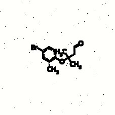 Cc1cc(Br)ccc1OC(C)(C)CC=O